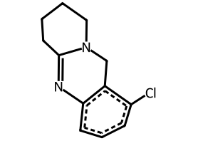 Clc1cccc2c1CN1CCCCC1=N2